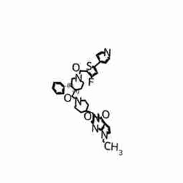 CCn1ccc2c(=O)n(CC3(O)CCN(C(=O)[C@@H]4CCN(C(=O)c5sc(-c6ccncc6)cc5F)C[C@H]4c4ccccc4)CC3)cnc21